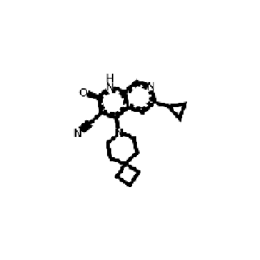 N#Cc1c(N2CCC3(CCC3)CC2)c2cc(C3CC3)ncc2[nH]c1=O